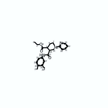 CCOC(=O)C1CCN(c2ccccn2)CC1C(=O)Nc1ccc(C)c(I)c1